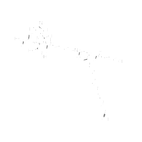 C#CCOCCOCCOCCOCCC(=O)N(CC(=O)NCCOCC)CC(=O)NCCOCCNC(=O)O[C@@H]([C@@H]1OC(C(=O)O)=C[C@H](NC(=N)N)[C@H]1NC(C)=O)[C@H](O)CO